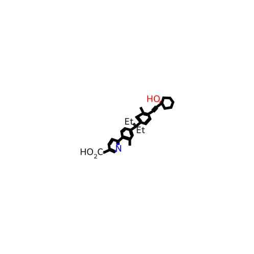 CCC(CC)(c1ccc(C#CC2(O)CCCCC2)c(C)c1)c1ccc(-c2ccc(CC(=O)O)cn2)c(C)c1